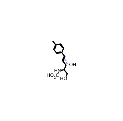 Cc1ccc(/C=C/[C@H](O)C(CO)NC(=O)O)cc1